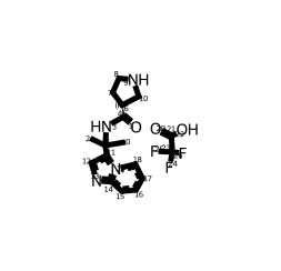 CC(C)(NC(=O)[C@@H]1CCNC1)c1cnc2ccccn12.O=C(O)C(F)(F)F